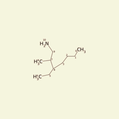 CCCCC(CC)C(C)CN